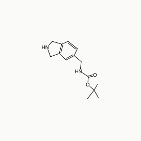 CC(C)(C)OC(=O)NCc1ccc2c(c1)CNC2